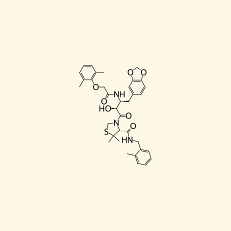 Cc1ccccc1CNC(=O)[C@H]1N(C(=O)[C@@H](O)[C@H](Cc2ccc3c(c2)OCO3)NC(=O)COc2c(C)cccc2C)CSC1(C)C